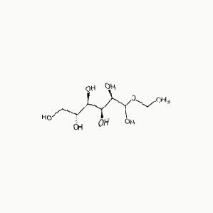 CCOC(O)[C@H](O)[C@@H](O)[C@H](O)[C@H](O)CO